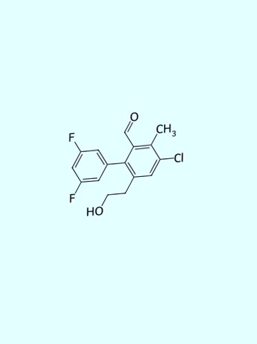 Cc1c(Cl)cc(CCO)c(-c2cc(F)cc(F)c2)c1C=O